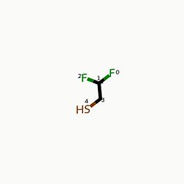 F[C](F)CS